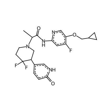 CC(C(=O)Nc1cc(F)c(OCC2CC2)cn1)N1CCC(F)(F)C(c2ccc(=O)[nH]c2)C1